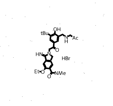 Br.CCOc1cc2c(cc1C(=O)NC)CN(CC(=O)c1cc(CNCC(C)=O)c(O)c(C(C)(C)C)c1)C2=N